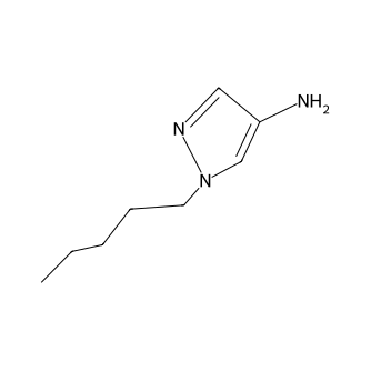 CCCCCn1cc(N)cn1